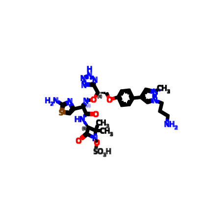 C[n+]1cc(-c2ccc(OC[C@H](O/N=C(\C(=O)N[C@@H]3C(=O)N(OS(=O)(=O)O)C3(C)C)c3csc(N)n3)c3nn[nH]n3)cc2)cn1CCCN